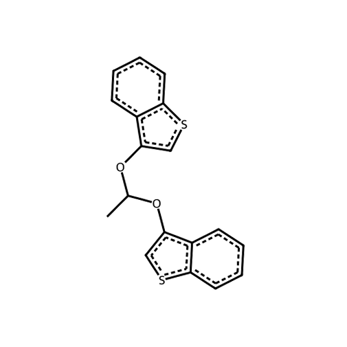 CC(Oc1csc2ccccc12)Oc1csc2ccccc12